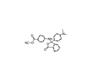 CN(C)c1ccc(C2(Nc3ccc(C(=O)OC#N)cc3)OC(=O)c3ccccc32)cc1